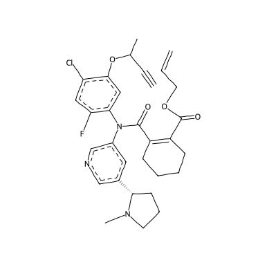 C#CC(C)Oc1cc(N(C(=O)C2=C(C(=O)OCC=C)CCCC2)c2cncc([C@@H]3CCCN3C)c2)c(F)cc1Cl